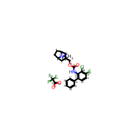 C[N+]1(C)C2CCC1CC(COC(=O)Nc1c(-c3ccccc3)ccc(F)c1Cl)C2.O=C([O-])C(F)(F)F